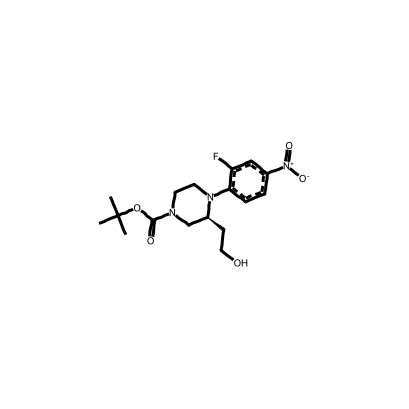 CC(C)(C)OC(=O)N1CCN(c2ccc([N+](=O)[O-])cc2F)[C@@H](CCO)C1